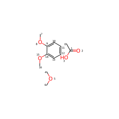 CC(=O)O.COC.COc1ccccc1OC